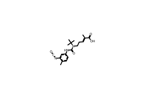 C/C(=C\CCN(C(=O)Nc1ccc(C)c(N=C=O)c1)C(C)(C)C)C(=O)O